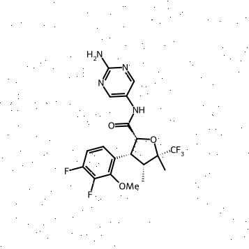 COc1c([C@@H]2[C@@H](C(=O)Nc3cnc(N)nc3)O[C@](C)(C(F)(F)F)[C@@H]2C)ccc(F)c1F